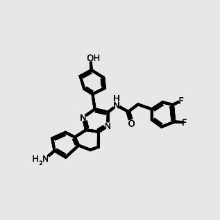 Nc1ccc2c(c1)CCc1nc(NC(=O)Cc3ccc(F)c(F)c3)c(-c3ccc(O)cc3)nc1-2